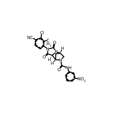 Cc1c(N2C(=O)[C@@H]3[C@@H]4C[C@@H](CN4C(=O)Nc4cccc([N+](=O)[O-])c4)N3C2=O)ccc(C#N)c1Cl